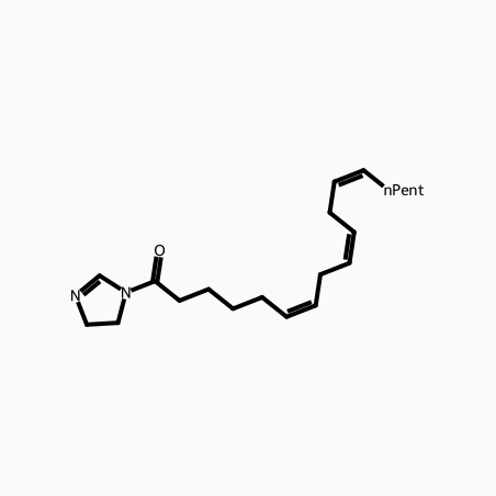 CCCCC/C=C\C/C=C\C/C=C\CCCCC(=O)N1C=NCC1